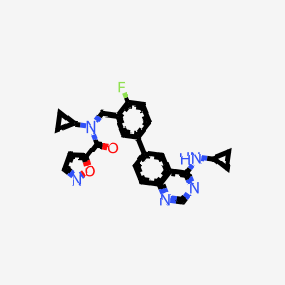 O=C(c1ccno1)N(Cc1cc(-c2ccc3ncnc(NC4CC4)c3c2)ccc1F)C1CC1